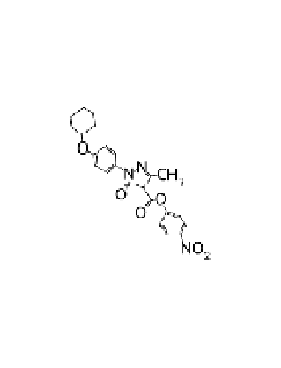 CC1=NN(c2ccc(OC3CCCCC3)cc2)C(=O)C1C(=O)Oc1ccc([N+](=O)[O-])cc1